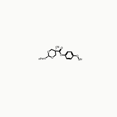 CCCCC[C@H]1OC[C@@](C#N)(C(=O)Oc2ccc(OCCC)cc2)CO1